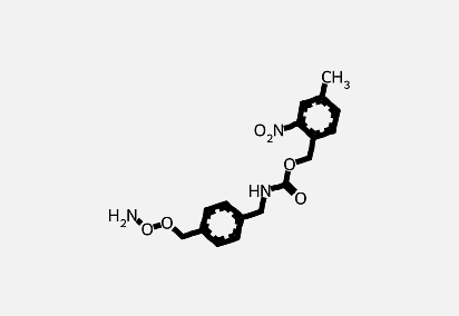 Cc1ccc(COC(=O)NCc2ccc(COON)cc2)c([N+](=O)[O-])c1